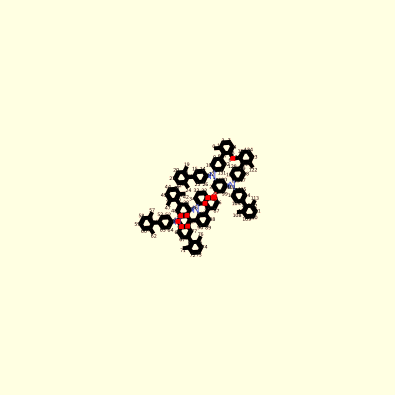 Cc1cccc(C)c1-c1ccc(N(c2ccc(-c3c(C)cccc3C)cc2)c2cc(Oc3cccc(N(c4cc(-c5c(C)cccc5C)cc(N(c5ccc(-c6c(C)cccc6C)cc5)c5ccc(-c6c(C)cccc6C)cc5)c4)c4c(-c5ccccc5)cccc4-c4ccccc4)c3)cc(N(c3ccc(-c4c(C)cccc4C)cc3)c3ccc(-c4c(C)cccc4C)cc3)c2)cc1